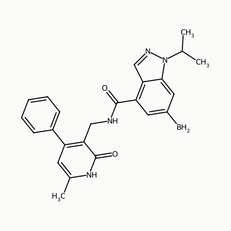 Bc1cc(C(=O)NCc2c(-c3ccccc3)cc(C)[nH]c2=O)c2cnn(C(C)C)c2c1